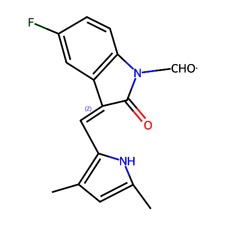 Cc1cc(C)c(/C=C2\C(=O)N([C]=O)c3ccc(F)cc32)[nH]1